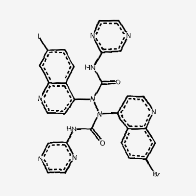 O=C(Nc1cnccn1)N(c1ccnc2cc(Br)ccc12)N(C(=O)Nc1cnccn1)c1ccnc2cc(I)ccc12